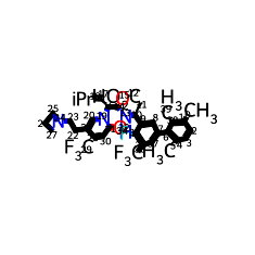 Cc1ccc(C)c(-c2cc([C@H](CC(=O)O)NC(=O)[C@H](CC(C)C)n3cc(CCN4CCC4)c(C(F)(F)F)cc3=O)c(F)c(C(F)(F)F)c2)c1C